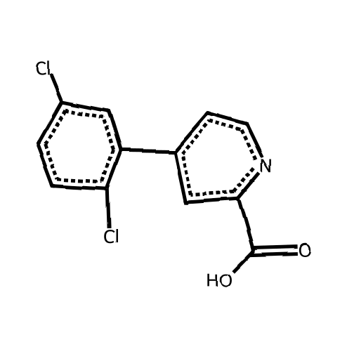 O=C(O)c1cc(-c2cc(Cl)ccc2Cl)ccn1